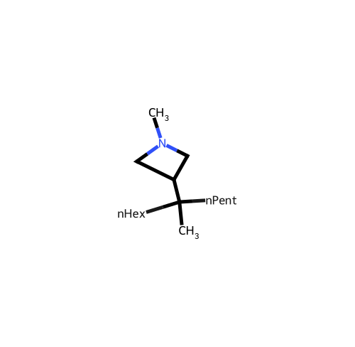 CCCCCCC(C)(CCCCC)C1CN(C)C1